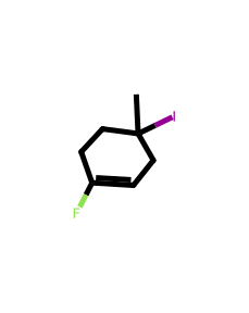 CC1(I)CC=C(F)CC1